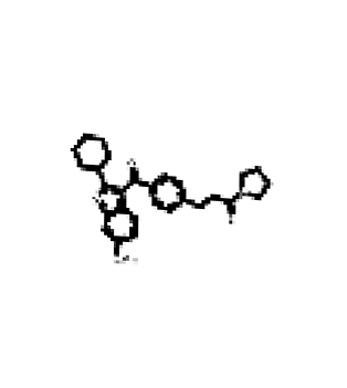 COc1ccc2c(C(=O)c3ccc(CCC(=O)N4CCCC4)cc3)c(C3CCCCC3)sc2c1